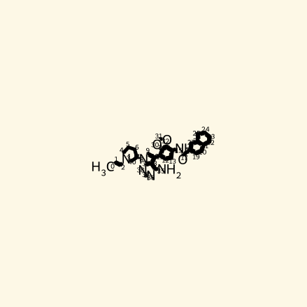 CC=CN1CCC[C@@H](n2cc(-c3ccc(NC(=O)c4ccc5ccccc5c4)c4c3OCO4)c3c(N)ncnc32)C1